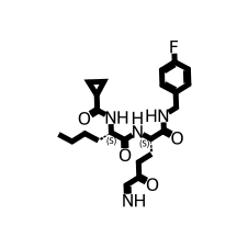 CCCC[C@H](NC(=O)C1CC1)C(=O)N[C@@H](CCC(=O)C=N)C(=O)NCc1ccc(F)cc1